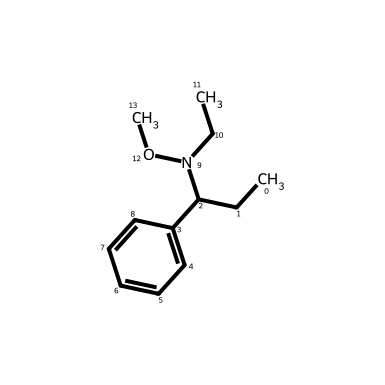 CCC(c1ccccc1)N(CC)OC